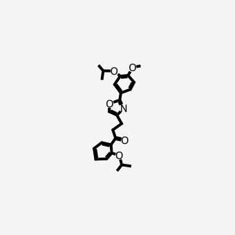 COc1ccc(-c2nc(CCC(=O)c3ccccc3OC(C)C)co2)cc1OC(C)C